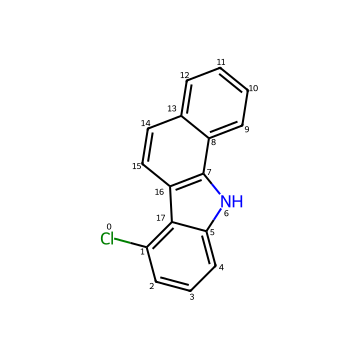 Clc1cccc2[nH]c3c4ccccc4ccc3c12